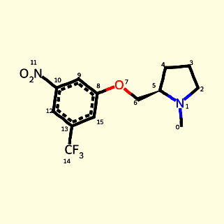 CN1CCC[C@@H]1COc1cc([N+](=O)[O-])cc(C(F)(F)F)c1